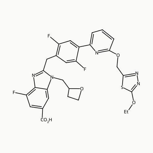 CCOc1nnc(COc2cccc(-c3cc(F)c(Cc4nc5c(F)cc(C(=O)O)cc5n4CC4CCO4)cc3F)n2)s1